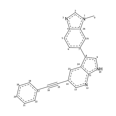 Cn1cnc2ccc(-c3c[nH]c4ncc(C#Cc5ccccc5)cc34)cc21